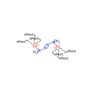 CCCCC/C=C\CCCC(CCC/C=C\CCCCC)C(CCC/C=C\CCCCC)OC(=O)CCN(C)CCCN1CCN(CCCN(C)CCC(=O)OC(CCC/C=C\CCCCC)C(CCC/C=C\CCCCC)CCC/C=C\CCCCC)CC1